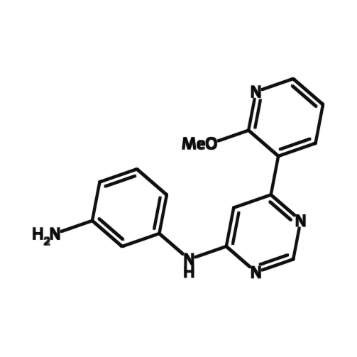 COc1ncccc1-c1cc(Nc2cccc(N)c2)ncn1